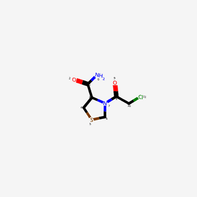 NC(=O)C1CSCN1C(=O)CCl